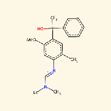 CCN(C)/C=N/c1cc(OC)c(C(O)(c2ccccc2)C(F)(F)F)cc1C